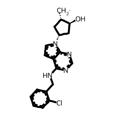 [CH2][C@H]1C[C@@H](n2ccc3c(NCc4ccccc4Cl)ncnc32)C[C@@H]1O